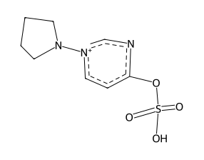 O=S(=O)(O)Oc1cc[n+](N2CCCC2)cn1